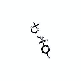 CC1(C)OC[C@@H](CNS(=O)(=O)c2ccc(Br)cn2)O1